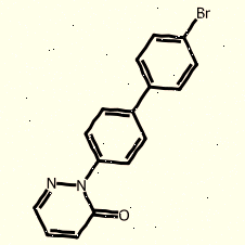 O=c1cccnn1-c1ccc(-c2ccc(Br)cc2)cc1